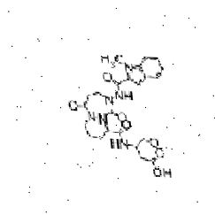 Cn1c(C(=O)NN2CCC(=O)N3CCCC(C(=O)NC(C=O)CC(=O)O)N3C2=O)cc2ccccc21